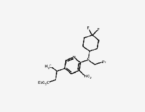 CCOC(=O)CC(C)c1cnc(N(CC(C)C)C2CCC(F)(F)CC2)c([N+](=O)[O-])c1